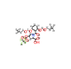 C[Si](C)(C)CCOCOc1cccc(OCOCC[Si](C)(C)C)c1C(=O)N1C=C(OS(=O)(=O)C(F)(F)F)CC1C(=O)O